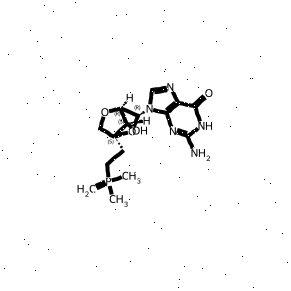 C=P(C)(C)CC[C@@]12CO[C@@H]([C@H](n3cnc4c(=O)[nH]c(N)nc43)O1)[C@@H]2O